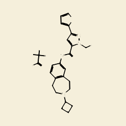 CCn1nc(-c2cccs2)cc1C(=O)Nc1ccc2c(c1)CCN(C1CCC1)CC2.O=C(O)C(F)(F)F